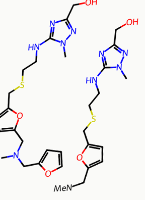 CN(Cc1ccco1)Cc1ccc(CSCCNc2nc(CO)nn2C)o1.CNCc1ccc(CSCCNc2nc(CO)nn2C)o1